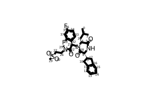 CC(C)C[C@@H]1C(=O)N[C@H](C2Cc3ccccc3C2)C(=O)N1[C@@H](C(=O)N(C)CCS(C)(=O)=O)c1ccc(F)cc1F